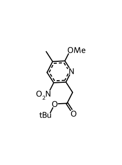 COc1nc(CC(=O)OC(C)(C)C)c([N+](=O)[O-])cc1C